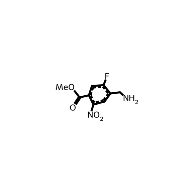 COC(=O)c1cc(F)c(CN)cc1[N+](=O)[O-]